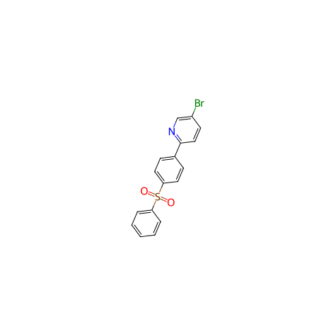 O=S(=O)(c1ccccc1)c1ccc(-c2ccc(Br)cn2)cc1